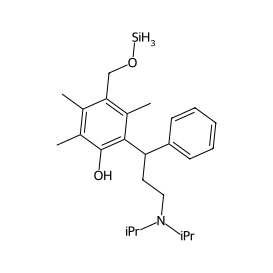 Cc1c(C)c(CO[SiH3])c(C)c(C(CCN(C(C)C)C(C)C)c2ccccc2)c1O